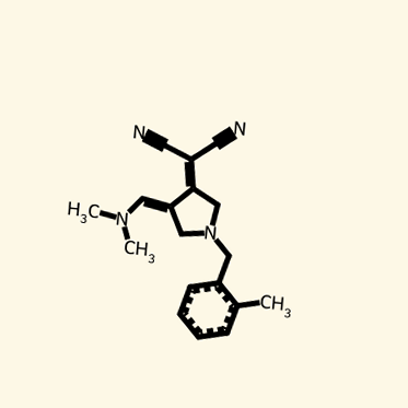 Cc1ccccc1CN1CC(=CN(C)C)C(=C(C#N)C#N)C1